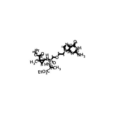 CCOC(=O)[C@H](C)NP(=O)(COCCn1cnc2c(=O)[nH]c(N)nc21)NC1C[C@@]1(C)C(=O)OC(C)C